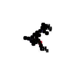 C=Cc1ccc(COCc2ccc(Oc3ccc(C4(c5ccccc5)c5cc(-c6ccc(N(c7ccc(-c8ccccc8)cc7)c7ccc8c(c7)C(C)(C)c7ccccc7-8)cc6)ccc5-c5ccc(-c6ccc(N(c7ccc(-c8ccccc8)cc7)c7ccc8c(c7)C(C)(C)c7ccccc7-8)cc6)cc54)cc3)cc2)cc1